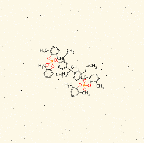 C=CCc1cc(C(C)(C)c2ccc(OP(=O)(Oc3c(C)cccc3C)Oc3c(C)cccc3C)c(CC=C)c2)ccc1OP(=O)(Oc1c(C)cccc1C)Oc1c(C)cccc1C